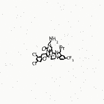 CC(C)CC(N)c1cc(C(F)(F)F)ccc1N1CCN(C(=O)C(Cc2ccc(Cl)cc2Cl)N2CCN(CCN)C2=O)CC1